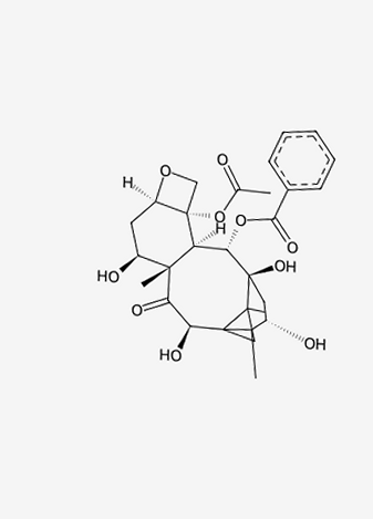 CC(=O)O[C@@]12CO[C@@H]1C[C@H](O)[C@@]1(C)C(=O)[C@H](O)C34CC3(C)[C@@](O)(C[C@H](O)C4C)[C@@H](OC(=O)c3ccccc3)[C@H]21